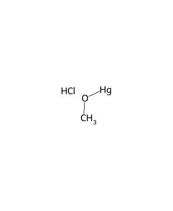 C[O][Hg].Cl